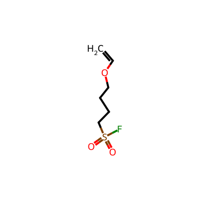 C=COCCCCS(=O)(=O)F